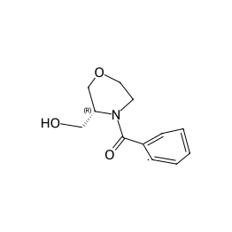 O=C(c1[c]cccc1)N1CCOC[C@H]1CO